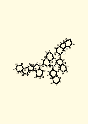 c1ccc2cc(N(c3cc(-c4ccc5sc6ccccc6c5c4)cc4ccccc34)c3cc(-c4cc5sc6c7ccccc7ccc6c5c5ccccc45)cc4ccccc34)ccc2c1